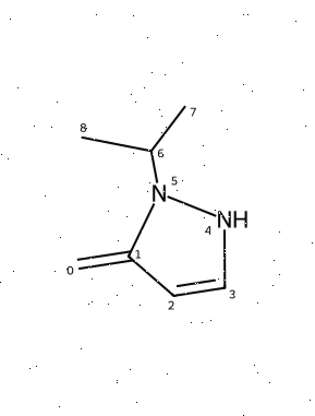 C=C1C=CNN1C(C)C